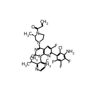 C=CC(=O)N1CCN(c2nc(=O)n(-c3c(C)ccnc3C(C)C)c3nc(-c4c(F)c(F)c(F)c(N)c4Cl)c(F)cc23)C[C@H]1C